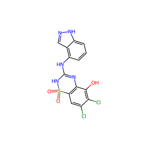 O=S1(=O)NC(Nc2cccc3[nH]ncc23)=Nc2c1cc(Cl)c(Cl)c2O